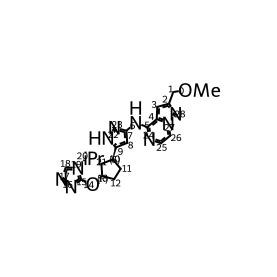 COCc1cc2c(Nc3cc([C@H]4CC[C@@H](Oc5nncn5C(C)C)C4)[nH]n3)nccn2n1